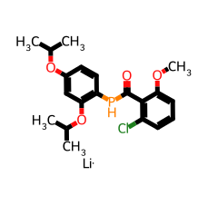 COc1cccc(Cl)c1C(=O)Pc1ccc(OC(C)C)cc1OC(C)C.[Li]